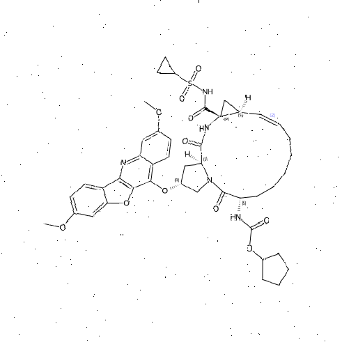 COc1ccc2c(O[C@@H]3C[C@H]4C(=O)N[C@]5(C(=O)NS(=O)(=O)C6CC6)C[C@H]5/C=C\CCCCC[C@H](NC(=O)OC5CCCC5)C(=O)N4C3)c3oc4cc(OC)ccc4c3nc2c1